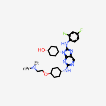 CCCN(CC)CCO[C@H]1CC[C@H](Nc2ncc3nc(Nc4ccc(F)cc4F)n([C@H]4CC[C@@H](O)CC4)c3n2)CC1